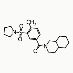 Cc1ccc(C(=O)N2CCC3CCCCC3C2)cc1S(=O)(=O)N1CCCC1